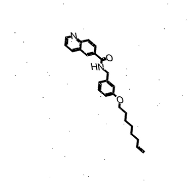 C=CCCCCCCOc1cccc(CNC(=O)c2ccc3ncccc3c2)c1